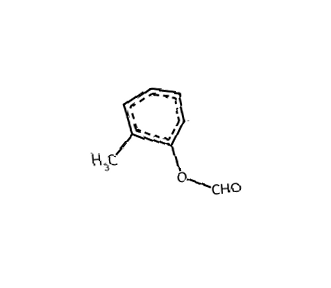 Cc1ccc[c]c1OC=O